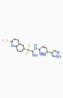 Bc1ccc2cc(C(F)(F)C(=N)NC(=N)/C=C\C(=N)c3cn[nH]c3)ccc2n1